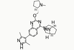 Cc1n[nH]c(C)c1-c1ccc2c(N3C[C@H]4CC[C@@H](C3)N4)nc(OC[C@@H]3CCCN3C)nc2c1